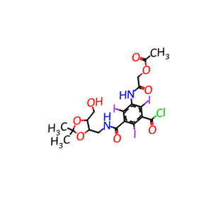 CC(=O)OCC(=O)Nc1c(I)c(C(=O)Cl)c(I)c(C(=O)NCC2OC(C)(C)OC2CO)c1I